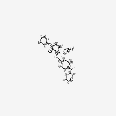 Cl.O=c1c(-c2ccccc2)ccnn1CC1CCN(CC2CCCOC2)CC1